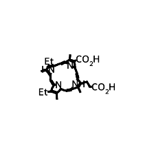 CCC1=C(C)c2cc3[nH]c(cc4nc(cc5[nH]c(cc1n2)c(C)c5CC)C(C)=C4C(=O)O)c(CCC(=O)O)c3C